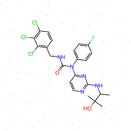 CC(Nc1nccc(N(C(=O)NCc2ccc(Cl)c(Cl)c2Cl)c2ccc(F)cc2)n1)C(C)(C)O